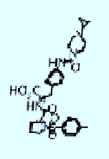 Cc1ccc(S(=O)(=O)N2CCC[C@H]2C(=O)N[C@@H](Cc2ccc(NC(=O)N3CCN(C4CC4)CC3)cc2)C(=O)O)cc1